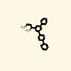 N/C=C\C(N)c1cc(-c2ccccc2)cc(-c2ccc(-c3ccccc3)cc2)c1